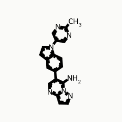 Cc1ncc(-n2ccc3cc(-c4cnc5ccnn5c4N)ccc32)cn1